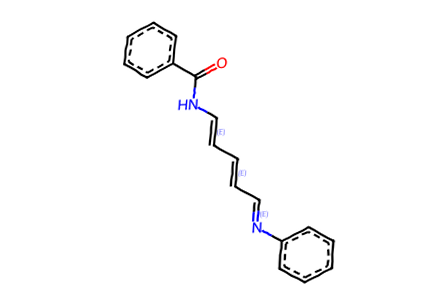 O=C(N/C=C/C=C/C=N/c1ccccc1)c1ccccc1